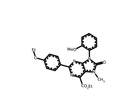 CCOC(=O)c1nc(-c2ccc(OCC)cc2)nc2c1n(C)c(=O)n2-c1ccccc1OC